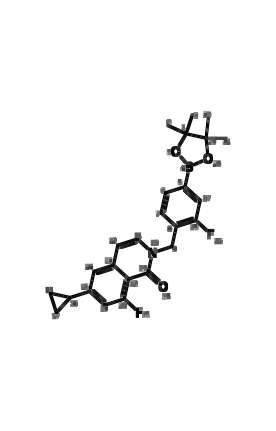 CC1(C)OB(c2ccc(Cn3ccc4cc(C5CC5)cc(F)c4c3=O)c(F)c2)OC1(C)C